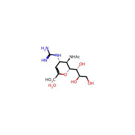 CC(=O)N[C@H]1[C@H]([C@H](O)[C@H](O)CO)OC(C(=O)O)=C[C@@H]1NC(=N)N.O